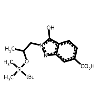 CC(Cn1nc2cc(C(=O)O)ccc2c1O)O[Si](C)(C)C(C)(C)C